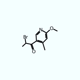 COc1cc(C)c(C(=O)C(C)Br)cn1